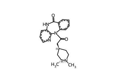 C[C@@H]1C[C@@H](CC(=O)N2c3ccccc3C(=O)Nc3cccnc32)CCN1C